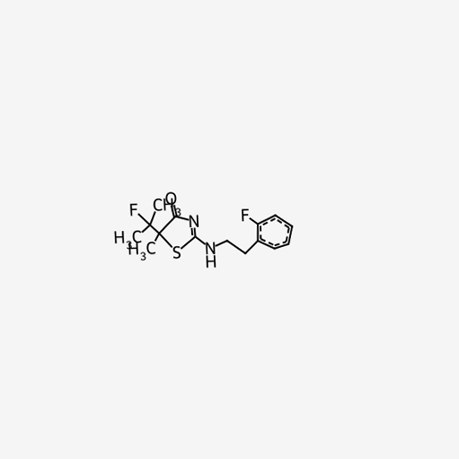 CC(C)(F)C1(C)SC(NCCc2ccccc2F)=NC1=O